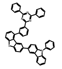 c1ccc(-c2nc(-c3ccccc3)nc(-c3cccc(-c4cccc5sc6ccc(-c7ccc8c(c7)c7ccccc7n8-c7ccccc7)cc6c45)c3)n2)cc1